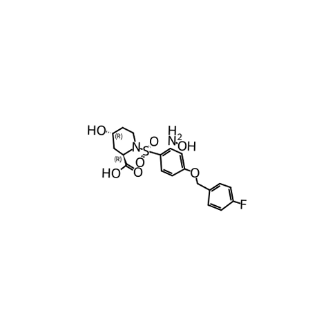 NO.O=C(O)[C@H]1C[C@H](O)CCN1S(=O)(=O)c1ccc(OCc2ccc(F)cc2)cc1